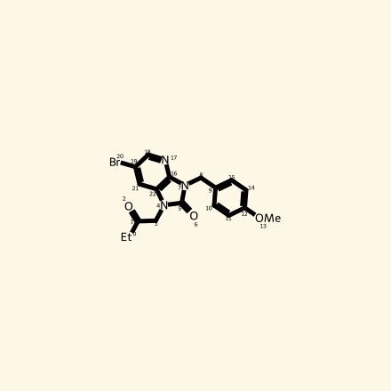 CCC(=O)Cn1c(=O)n(Cc2ccc(OC)cc2)c2ncc(Br)cc21